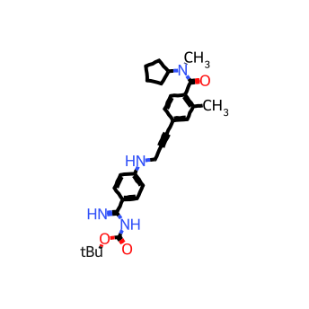 Cc1cc(C#CCNc2ccc(C(=N)NC(=O)OC(C)(C)C)cc2)ccc1C(=O)N(C)C1CCCC1